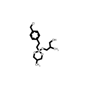 CC(CO)CO[Si]1(CCc2ccc(CCl)cc2)OCC(C)CO1